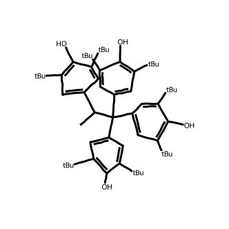 CC(c1cc(C(C)(C)C)c(O)c(C(C)(C)C)c1)C(c1cc(C(C)(C)C)c(O)c(C(C)(C)C)c1)(c1cc(C(C)(C)C)c(O)c(C(C)(C)C)c1)c1cc(C(C)(C)C)c(O)c(C(C)(C)C)c1